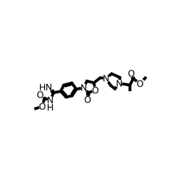 COC(=O)NC(=N)c1ccc(N2CC(CN3CCN(C(C)C(=O)OC)CC3)OC2=O)cc1